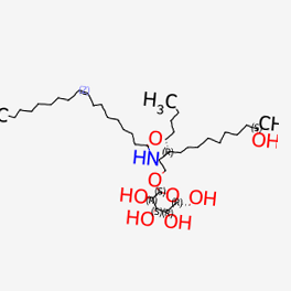 CCCCCCCC/C=C\CCCCCCCC(=O)NC(CO[C@H]1O[C@H](CO)[C@H](O)[C@H](O)[C@H]1O)[C@H](CCCCC)CCCCCCCC[C@H](C)O